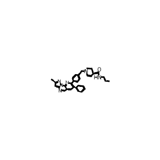 CCCNC(=O)C1CCN(Cc2ccc(-c3nc4c(cnc5cc(C)nn54)cc3-c3ccccc3)cc2)CC1